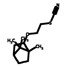 CC1(C)C2CCC1(C)C(OCCSC#N)C2